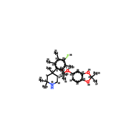 [2H]c1c([2H])c(C2([2H])CC([2H])([2H])NC[C@H]2C([2H])([2H])Oc2ccc3c(c2)OC([2H])([2H])O3)c([2H])c([2H])c1F